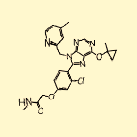 CNC(=O)COc1ccc(-c2nc3c(OC4(C)CC4)ncnc3n2Cc2cc(C)ccn2)c(Cl)c1